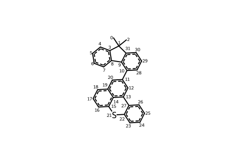 CC1(C)c2ccccc2-c2c(-c3cc4c5c(cccc5c3)Sc3ccccc3-4)cccc21